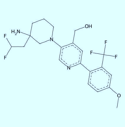 COc1ccc(-c2cc(CO)c(N3CCCC(N)(CC(F)F)C3)cn2)c(C(F)(F)F)c1